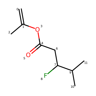 C=C(C)OC(=O)CC(F)C(C)C